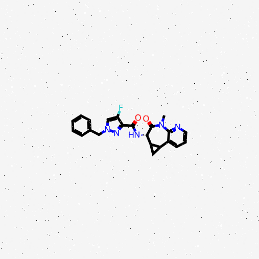 CN1C(=O)[C@@H](NC(=O)c2nn(Cc3ccccc3)cc2F)C2CC2c2cccnc21